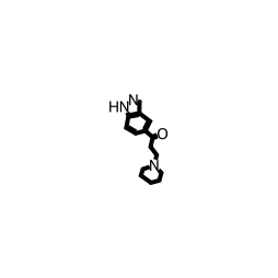 O=C(CCN1CCCCC1)c1ccc2[nH]ncc2c1